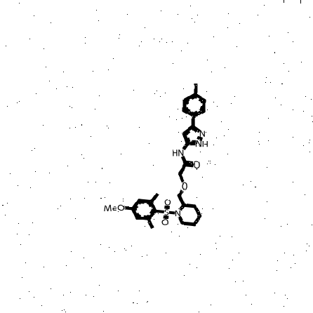 COc1cc(C)c(S(=O)(=O)N2CCCCC2COCC(=O)Nc2cc(-c3ccc(C)cc3)n[nH]2)c(C)c1